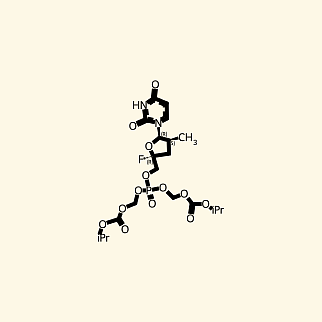 CC(C)OC(=O)OCOP(=O)(OCOC(=O)OC(C)C)OC[C@]1(F)C[C@H](C)[C@H](n2ccc(=O)[nH]c2=O)O1